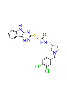 O=C(CSc1nnc2c(n1)[nH]c1ccccc12)NCC1CCN(Cc2ccc(Cl)c(Cl)c2)C1